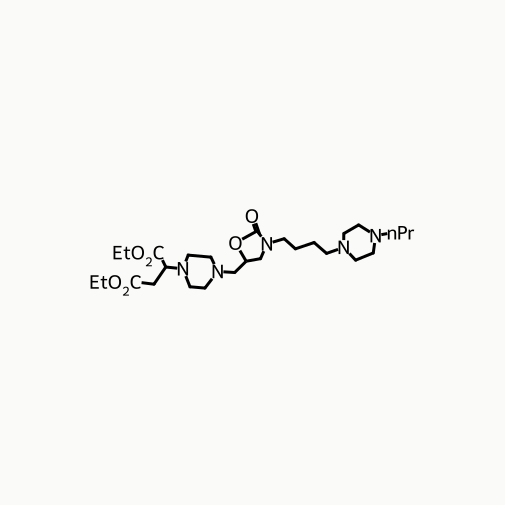 CCCN1CCN(CCCCN2CC(CN3CCN(C(CC(=O)OCC)C(=O)OCC)CC3)OC2=O)CC1